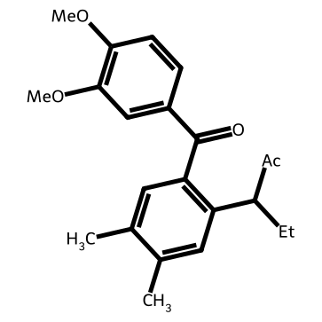 CCC(C(C)=O)c1cc(C)c(C)cc1C(=O)c1ccc(OC)c(OC)c1